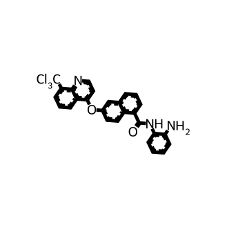 Nc1ccccc1NC(=O)c1cccc2cc(Oc3ccnc4c(C(Cl)(Cl)Cl)cccc34)ccc12